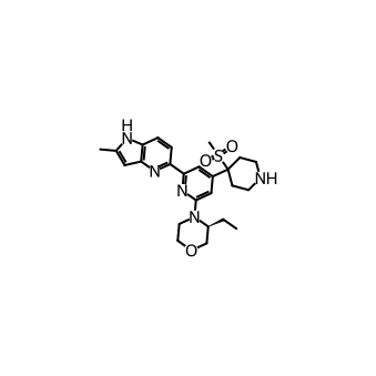 CC[C@H]1COCCN1c1cc(C2(S(C)(=O)=O)CCNCC2)cc(-c2ccc3[nH]c(C)cc3n2)n1